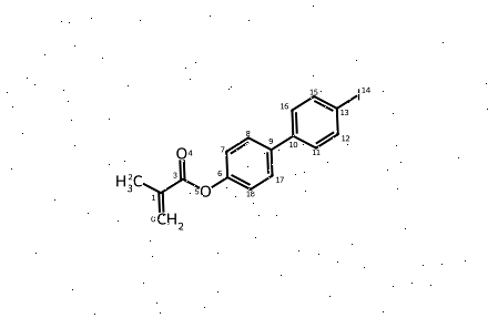 C=C(C)C(=O)Oc1ccc(-c2ccc(I)cc2)cc1